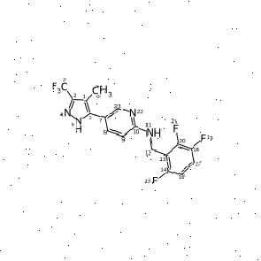 Cc1c(C(F)(F)F)n[nH]c1-c1ccc(NCc2c(F)ccc(F)c2F)nc1